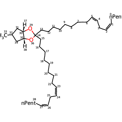 CCCCC/C=C\C/C=C\CCCCCCCCC1(CCCCCCCC/C=C\C/C=C\CCCCC)O[C@H]2CC(C)C[C@H]2O1